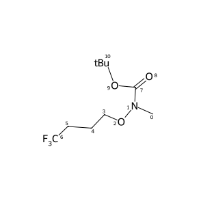 CN(OCCCC(F)(F)F)C(=O)OC(C)(C)C